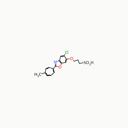 CC1=C=CC=C(c2nc3cc(Cl)c(OCCCS(=O)(=O)O)cc3o2)C=C1